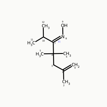 C=C(C)CC(C)(C)/C(=N/O)C(C)C